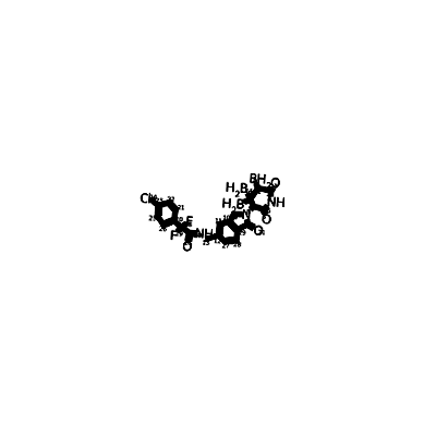 BC1C(=O)NC(=O)C(N2Cc3cc(CNC(=O)C(F)(F)c4ccc(Cl)cc4)ccc3C2=O)C1(B)B